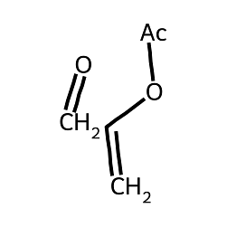 C=COC(C)=O.C=O